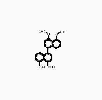 O=COc1cccc2c(-c3ccc(C(=O)O)c4c(C(=O)O)cccc34)ccc(OC=O)c12